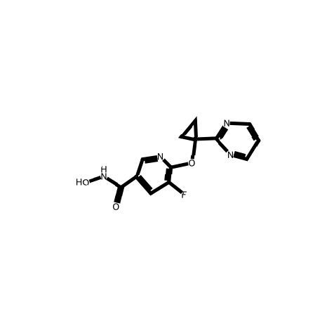 O=C(NO)c1cnc(OC2(c3ncccn3)CC2)c(F)c1